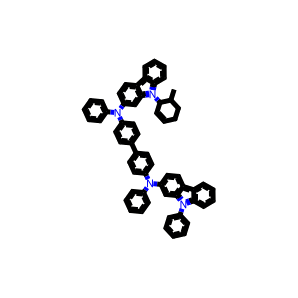 CC1CCC=CC1n1c2ccccc2c2ccc(N(c3ccccc3)c3ccc(-c4ccc(N(c5ccccc5)c5ccc6c7ccccc7n(-c7ccccc7)c6c5)cc4)cc3)cc21